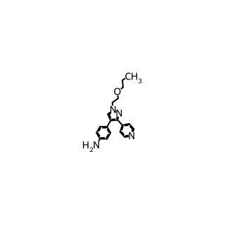 CCCOCCn1cc(-c2ccc(N)cc2)c(-c2ccncc2)n1